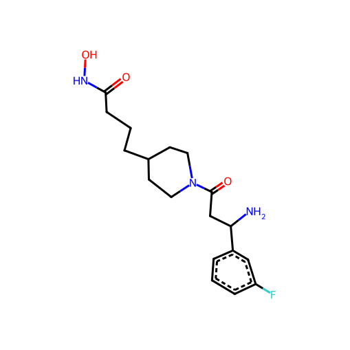 NC(CC(=O)N1CCC(CCCC(=O)NO)CC1)c1cccc(F)c1